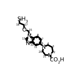 O=C(O)N1CCCN(c2ccc3c(c2)ncn3COCC[SiH3])CC1